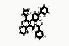 C[C@H](NC(=O)C(c1cnccn1)N(C(=O)c1ccco1)c1ccc(-c2ccccc2)cc1)c1ccccc1